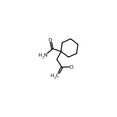 C=C(Cl)CC1(C(N)=O)CCCCC1